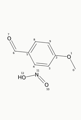 COc1ccc(C=O)cc1.O=NO